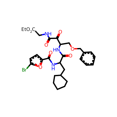 CCOC(=O)CNC(=O)C(=O)C(COCc1ccccc1)NC(=O)C(CC1CCCCC1)NC(=O)c1ccc(Br)o1